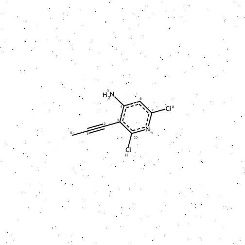 CC#Cc1c(N)cc(Cl)nc1Cl